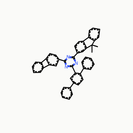 CC1(C)c2ccccc2-c2ccc(-c3nc(-c4ccc5c(c4)-c4ccccc4-5)nc(-c4cc(-c5ccccc5)ccc4-c4ccccc4)n3)cc21